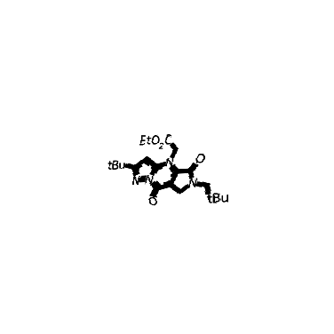 CCOC(=O)Cn1c2c(c(=O)n3nc(C(C)(C)C)cc13)CN(CC(C)(C)C)C2=O